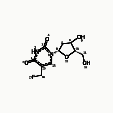 O=c1[nH]c(=O)n([C@@H]2CC(O)[C@H](CO)O2)cc1CF